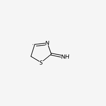 N=C1N=[C]CS1